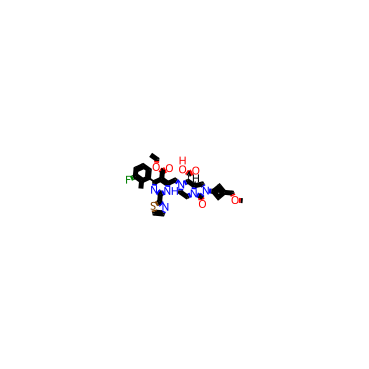 CCOC(=O)C1=C(CN2CCN3C(=O)N(C45CC(COC)(C4)C5)C[C@@H]3[C@H]2C(=O)O)NC(c2nccs2)=N[C@H]1c1cccc(F)c1C